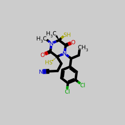 CCC(c1ccc(Cl)c(Cl)c1)N1C(=O)[C@@](C)(S)N(C)C(=O)[C@]1(S)CCC#N